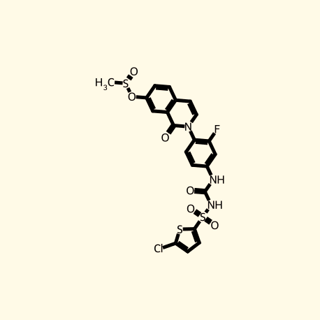 CS(=O)Oc1ccc2ccn(-c3ccc(NC(=O)NS(=O)(=O)c4ccc(Cl)s4)cc3F)c(=O)c2c1